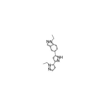 CCn1nccc1-c1cc(-c2ccc3c(cnn3CC)c2)[nH]n1